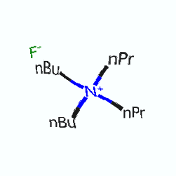 CCCC[N+](CCC)(CCC)CCCC.[F-]